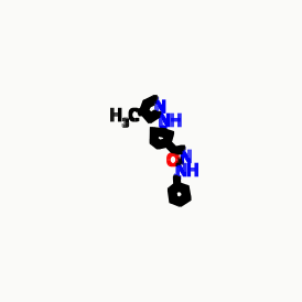 Cc1ccnc(Nc2cccc(-c3cnc(NCc4ccccc4)o3)c2)c1